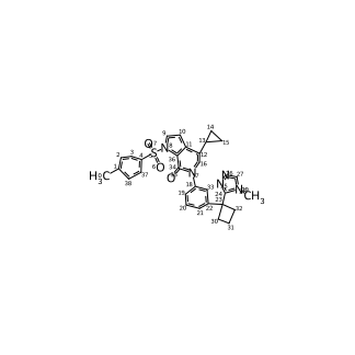 Cc1ccc(S(=O)(=O)n2ccc3c(C4CC4)cn(-c4cccc(C5(c6nncn6C)CCC5)c4)c(=O)c32)cc1